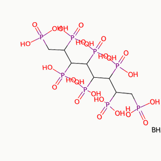 B.O=P(O)(O)CC(C(C(C(C(C(CP(=O)(O)O)P(=O)(O)O)P(=O)(O)O)P(=O)(O)O)P(=O)(O)O)P(=O)(O)O)P(=O)(O)O